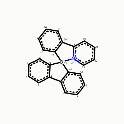 c1ccc2c(c1)-c1ccccc1[B-]21c2ccccc2-c2cccc[n+]21